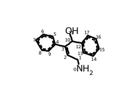 NCC=C(c1ccccc1)C(O)c1ccccc1